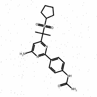 CC(C)(c1cc(N)nc(-c2ccc(NC(N)=O)cc2)n1)S(=O)(=O)C1CCCC1